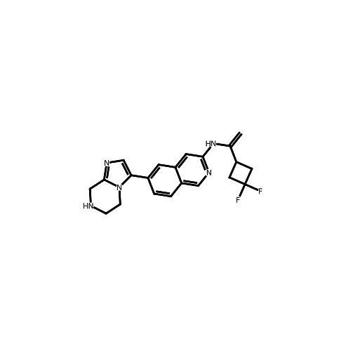 C=C(Nc1cc2cc(-c3cnc4n3CCNC4)ccc2cn1)C1CC(F)(F)C1